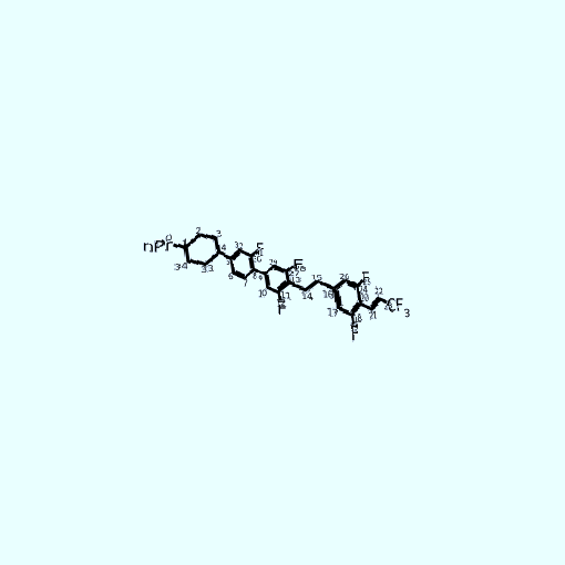 CCCC1CCC(c2ccc(-c3cc(F)c(CCc4cc(F)c(/C=C/C(F)(F)F)c(F)c4)c(F)c3)c(F)c2)CC1